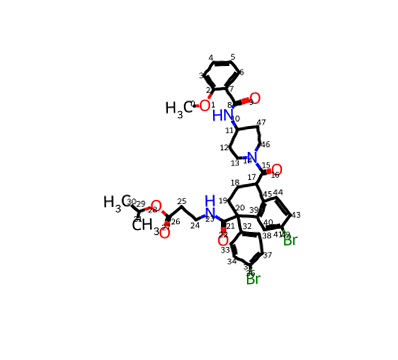 COc1ccccc1C(=O)NC1CCN(C(=O)C2CCC(C(=O)NCCC(=O)OC(C)C)(c3ccc(Br)cc3)c3cc(Br)ccc32)CC1